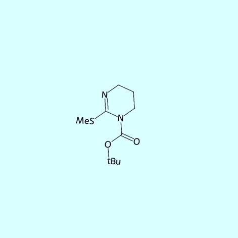 CSC1=NCCCN1C(=O)OC(C)(C)C